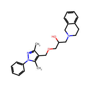 Cc1nn(-c2ccccc2)c(C)c1COCC(O)CN1CCc2ccccc2C1